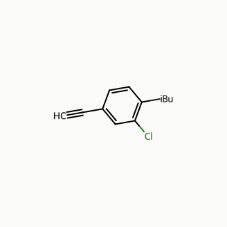 C#Cc1ccc(C(C)CC)c(Cl)c1